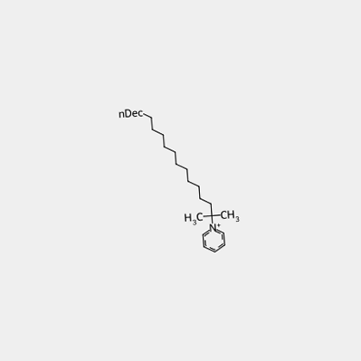 CCCCCCCCCCCCCCCCCCCCCC(C)(C)[n+]1ccccc1